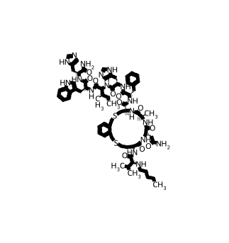 CCCCCN[C@H](C(=O)N[C@@H]1CCSCc2ccccc2CSC[C@H](C(=O)N[C@@H](Cc2ccccc2)C(=O)N[C@@H](Cc2cnc[nH]2)C(=O)NC(C(=O)N[C@@H](Cc2c[nH]c3ccccc23)C(=O)N[C@@H](Cc2cnc[nH]2)C(N)=O)[C@@H](C)CC)NC(=O)[C@H](C)NC(=O)[C@H](CC(N)=O)NC1=O)C(C)C